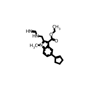 CCOC(=O)c1c(CNC=N)n(C)c2ccc(C3=CCCC3)cc12